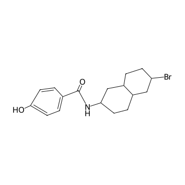 O=C(NC1CCC2CC(Br)CCC2C1)c1ccc(O)cc1